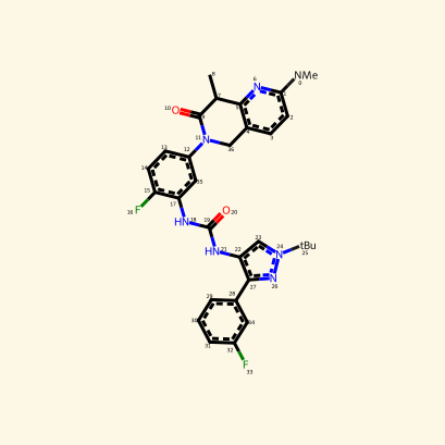 CNc1ccc2c(n1)C(C)C(=O)N(c1ccc(F)c(NC(=O)Nc3cn(C(C)(C)C)nc3-c3cccc(F)c3)c1)C2